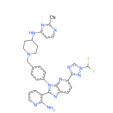 N#Cc1nccc(NC2CCN(Cc3ccc(-n4c(-c5cccnc5N)nc5ccc(-c6ncn(C(F)F)n6)nc54)cc3)CC2)n1